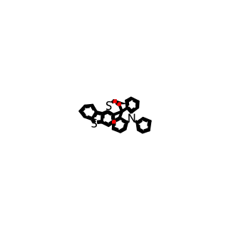 c1ccc(N2c3ccccc3C3(c4ccccc4Sc4c3ccc3sc5ccccc5c43)c3ccccc32)cc1